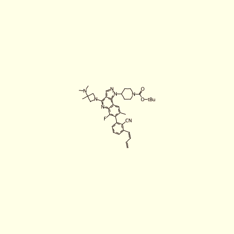 C=C/C=C\c1cccc(-c2c(C)cc3c(nc(N4CC(C)(N(C)C)C4)c4cnn(C5CCN(C(=O)OC(C)(C)C)CC5)c43)c2F)c1C#N